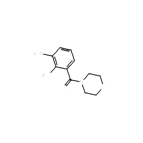 Cc1c(N)cccc1C(=O)N1CCOCC1